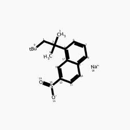 CC(C)(C)CC(C)(C)c1cccc2ccc(S(=O)[O-])cc12.[Na+]